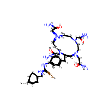 C[C@H]1CC[C@H](CNC(=S)Nc2ccc(CC3CN(CC(N)=O)CCN(CC(N)=O)CCN(CC(N)=O)CCN3CC(N)=O)cc2)CC1